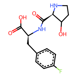 O=C(O)[C@H](Cc1ccc(F)cc1)NC(=O)[C@H]1NCCC1O